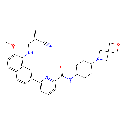 C=C(C#N)CNc1c(OC)ccc2ccc(-c3cccc(C(=O)NC4CCC(N5CC6(COC6)C5)CC4)n3)cc12